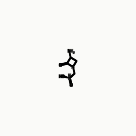 NC1CN(C[P@@H](=O)O)C1=O